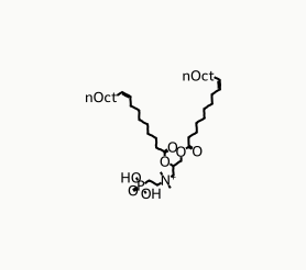 CCCCCCCC/C=C\CCCCCCCC(=O)OCC(C[N+](C)(C)CCP(=O)(O)O)OC(=O)CCCCCCC/C=C\CCCCCCCC